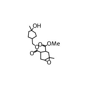 COC(=O)C1CC2(C)OC2CC1C(=O)OCC1CCC(C)(O)CC1